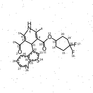 CC(=O)C1=C(C)NC(C)=C(C(=O)OC2CCC(F)(F)CC2)C1c1csc2ncccc12